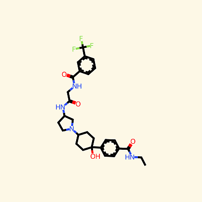 CCNC(=O)c1ccc(C2(O)CCC(N3CCC(NC(=O)CNC(=O)c4cccc(C(F)(F)F)c4)C3)CC2)cc1